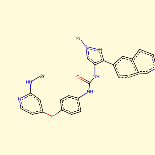 CC(C)Nc1cc(Oc2ccc(NC(=O)Nc3cn(C(C)C)nc3-c3ccc4cnccc4c3)cc2)ccn1